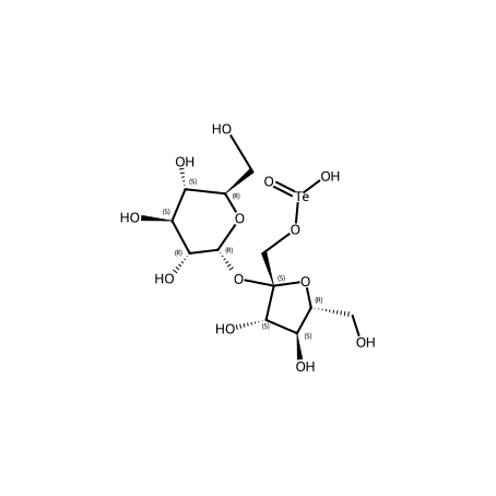 O=[Te](O)OC[C@@]1(O[C@H]2O[C@H](CO)[C@@H](O)[C@H](O)[C@H]2O)O[C@H](CO)[C@@H](O)[C@@H]1O